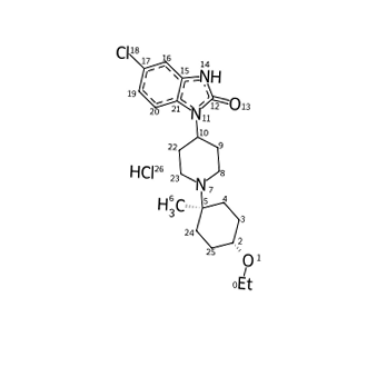 CCO[C@H]1CC[C@](C)(N2CCC(n3c(=O)[nH]c4cc(Cl)ccc43)CC2)CC1.Cl